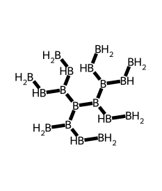 BBB(B)B(B(BB)BB)B(BB)B(BB)BB